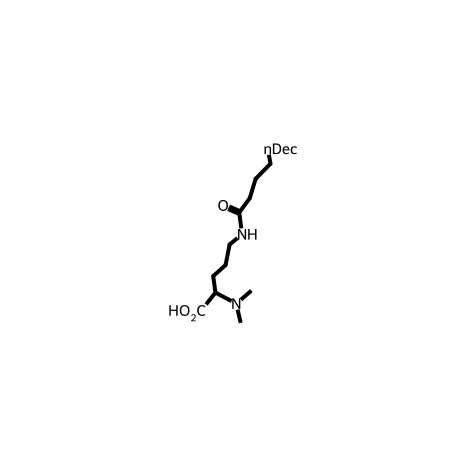 CCCCCCCCCCCCCC(=O)NCCCC(C(=O)O)N(C)C